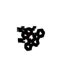 N#Cc1ccc(-n2c3ccccc3c3ccc4c5ccccc5n(-c5c(F)cc(F)cc5F)c4c32)c(C#N)c1